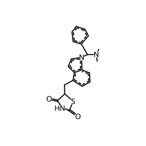 CN(C)C(c1ccccc1)n1ccc2c(CC3SC(=O)NC3=O)cccc21